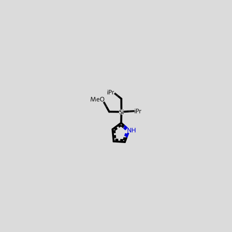 COC[Si](CC(C)C)(c1ccc[nH]1)C(C)C